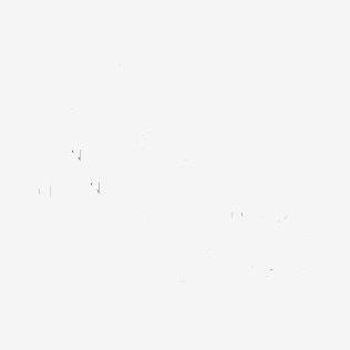 Clc1nc(-c2ccccc2)c2c(n1)C1C=C(c3cccc4c3oc3ccccc34)C=CC1O2